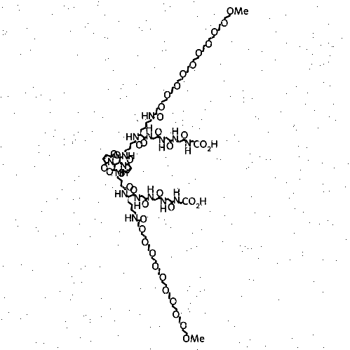 COCCOCCOCCOCCOCCOCCOCCOCCOCCOCC(=O)NCCCC[C@H](NC(=O)CCCNC(=O)[C@H]([C@@H](C(=O)NCCCC(=O)N[C@@H](CCCCNC(=O)COCCOCCOCCOCCOCCOCCOCCOCCOCCOC)C(=O)NCC(=O)NCC(=O)NCC(=O)NCC(=O)O)N1C(=O)C=CC1=O)N1C(=O)C=CC1=O)C(=O)NCC(=O)NCC(=O)NCC(=O)NCC(=O)O